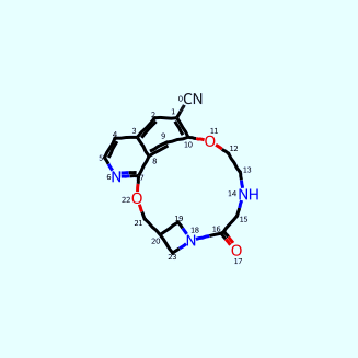 N#Cc1cc2ccnc3c2cc1OCCNCC(=O)N1CC(CO3)C1